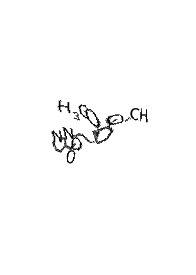 C#CCOc1ccc(/C=C/c2nc3ncccc3c(=O)o2)cc1OC